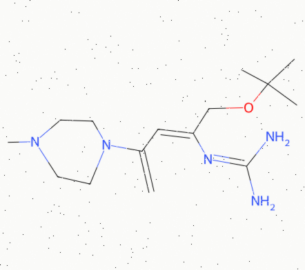 C=C(/C=C(/COC(C)(C)C)N=C(N)N)N1CCN(C)CC1